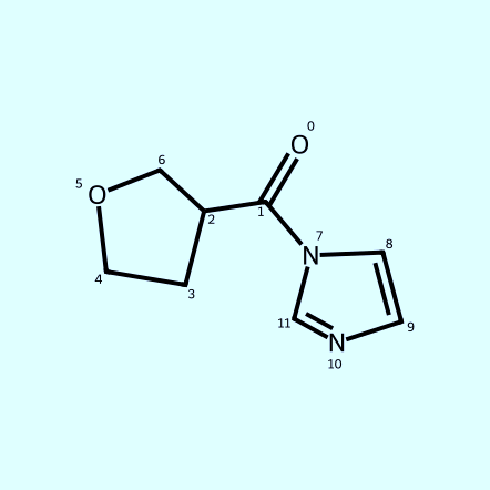 O=C(C1CCOC1)n1ccnc1